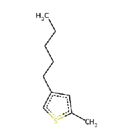 CCCCCc1csc(C)c1